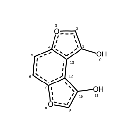 Oc1coc2ccc3occ(O)c3c12